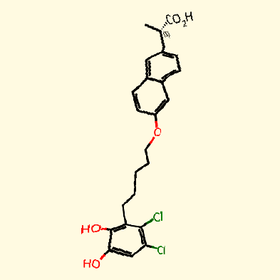 C[C@H](C(=O)O)c1ccc2cc(OCCCCCc3c(O)c(O)cc(Cl)c3Cl)ccc2c1